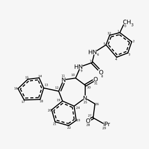 Cc1cccc(NC(=O)NC2N=C(c3ccccc3)c3ccccc3N(CC(=O)C(C)C)C2=O)c1